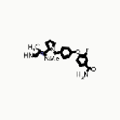 CN/C(=C(/C)C=N)C1CCCN1Cc1ccc(Oc2ccc(C(N)=O)cc2F)cc1